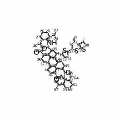 C=C/C=C(\Sc1cccs1)c1ccc(-c2cc(C(=O)Nc3c(C(C)C)cccc3C(C)C)c3c(C=O)ccc4c5ccc6c7c(ccc(c2c34)c75)C(=O)N(c2c(C(C)C)cccc2C(C)C)C6=O)s1